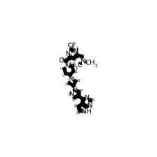 CN(C)Cc1cc(C(=O)N2CCC(N3C[C](n4cc(-c5ncnc6[nH]ccc56)cn4)C3)CC2)nc(C(F)(F)F)n1